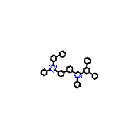 c1ccc(-c2cc(-c3ccccc3)cc(-c3cc(-c4cccc(-c5cccc(-c6nc(-c7ccccc7)nc(-c7cccc(-c8ccccc8)c7)n6)c5)c4)nc(-c4ccccc4)n3)c2)cc1